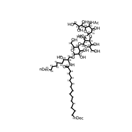 CCCCCCCCCCCCCCCCCCCCCCCCC(=O)NC(COC1OC(CO)C(OC2OC(CO)C(O)C(OC3(C(=O)O)CC(O)C(NC(C)=O)C(C(O)C(O)CO)O3)C2O)C(O)C1O)C(O)CCCCCCCCCCCCCCC